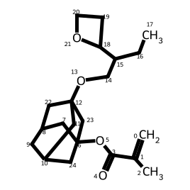 C=C(C)C(=O)OC12CC3CC(CC(OCC(CC)C4CCO4)(C3)C1)C2